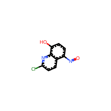 O=Nc1ccc(O)c2nc(Cl)ccc12